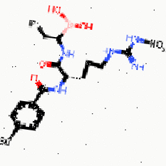 CC(C)C[C@H](NC(=O)[C@H](CCCNC(=N)N[N+](=O)[O-])NC(=O)c1ccc(C(C)(C)C)cc1)B(O)O